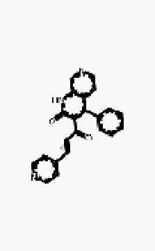 O=C(/C=C/c1ccncc1)c1c(-c2ccccc2)c2ccncc2[nH]c1=O